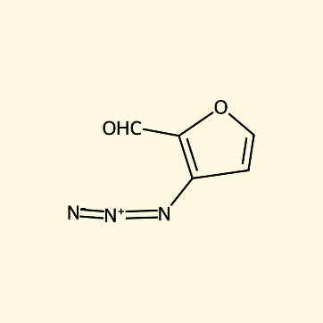 [N-]=[N+]=Nc1ccoc1C=O